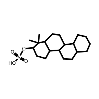 CC1(C)C(OS(=O)(=O)O)CCC2C3CCC4CCCCC4C3CCC21